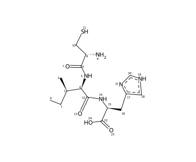 CC[C@@H](C)[C@@H](NC(=O)[C@@H](N)CS)C(=O)N[C@@H](Cc1c[nH]cn1)C(=O)O